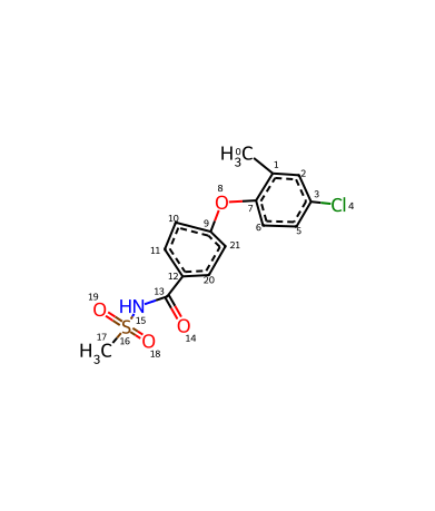 Cc1cc(Cl)ccc1Oc1ccc(C(=O)NS(C)(=O)=O)cc1